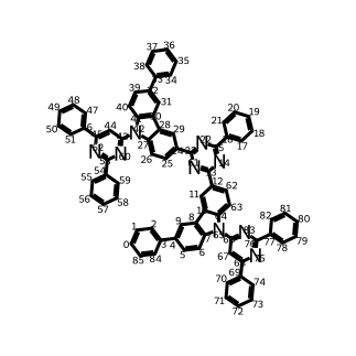 c1ccc(-c2ccc3c(c2)c2cc(-c4nc(-c5ccccc5)nc(-c5ccc6c(c5)c5cc(-c7ccccc7)ccc5n6-c5cc(-c6ccccc6)nc(-c6ccccc6)n5)n4)ccc2n3-c2cc(-c3ccccc3)nc(-c3ccccc3)n2)cc1